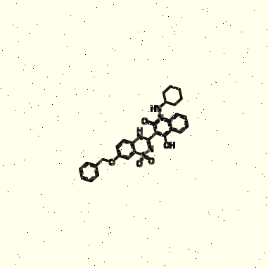 O=c1c(C2=NS(=O)(=O)c3cc(OCc4ccccc4)ccc3N2)c(O)c2ccccc2n1NC1CCCCC1